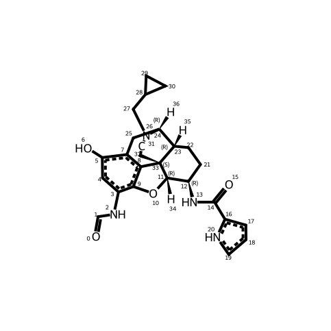 O=CNc1cc(O)c2c3c1O[C@H]1[C@H](NC(=O)c4ccc[nH]4)CC[C@H]4[C@@H](C2)N(CC2CC2)CC[C@@]341